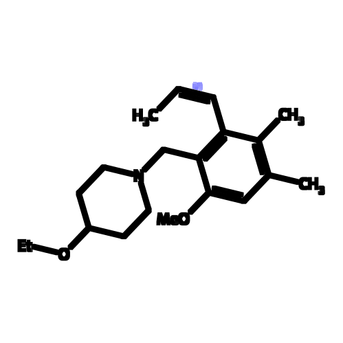 C/C=C\c1c(C)c(C)cc(OC)c1CN1CCC(OCC)CC1